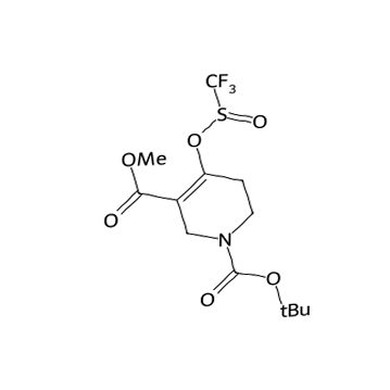 COC(=O)C1=C(OS(=O)C(F)(F)F)CCN(C(=O)OC(C)(C)C)C1